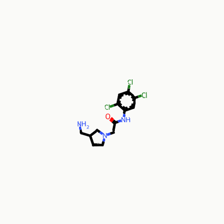 NCC1CCN(CC(=O)Nc2cc(Cl)c(Cl)cc2Cl)C1